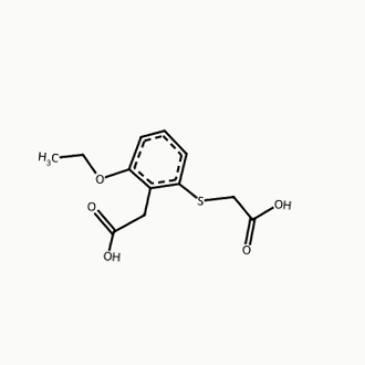 CCOc1cccc(SCC(=O)O)c1CC(=O)O